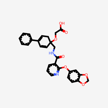 O=C(O)COC1(CNC(=O)c2cccnc2Oc2ccc3c(c2)OCO3)C=CC(c2ccccc2)=CC1